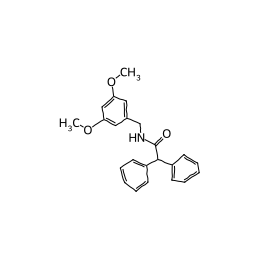 COc1cc(CNC(=O)C(c2ccccc2)c2ccccc2)cc(OC)c1